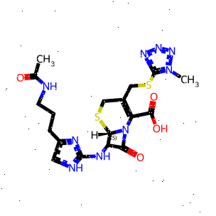 CC(=O)NCCCc1c[nH]c(NC2C(=O)N3C(C(=O)O)=C(CSc4nnnn4C)CS[C@@H]23)n1